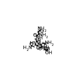 NC(=O)C[C@H](NC(=O)CNC(=O)[C@@H](N)CC(N)=O)C(=O)N[C@@H](CC(N)=O)C(=O)NCC(=O)O